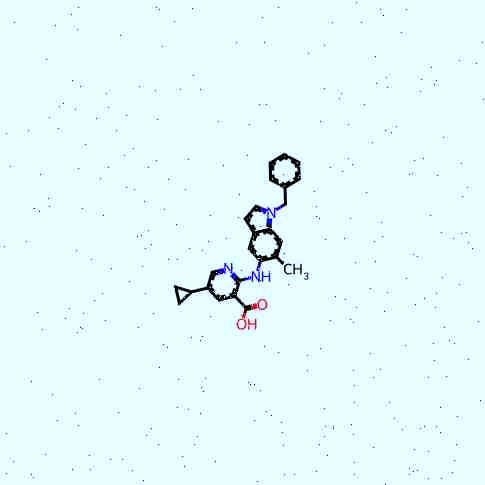 Cc1cc2c(ccn2Cc2ccccc2)cc1Nc1ncc(C2CC2)cc1C(=O)O